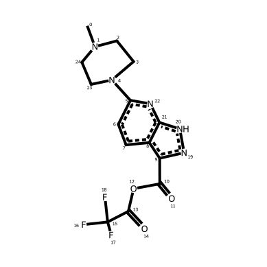 CN1CCN(c2ccc3c(C(=O)OC(=O)C(F)(F)F)n[nH]c3n2)CC1